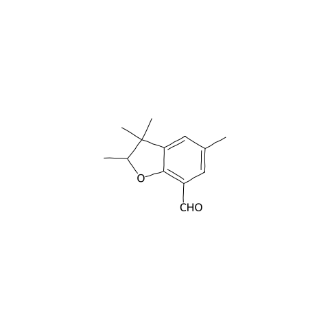 Cc1cc(C=O)c2c(c1)C(C)(C)C(C)O2